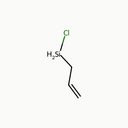 C=CC[SiH2]Cl